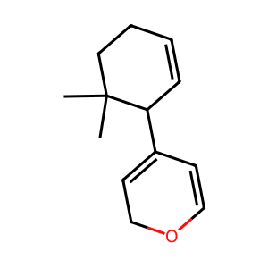 CC1(C)CCC=CC1C1=CCOC=C1